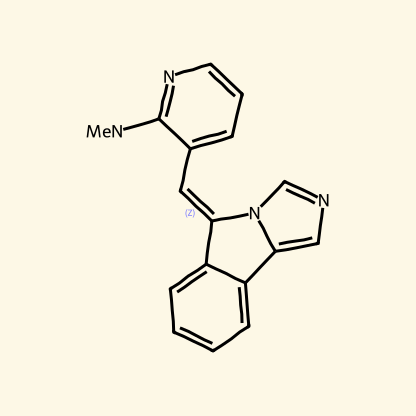 CNc1ncccc1/C=c1/c2ccccc2c2cncn12